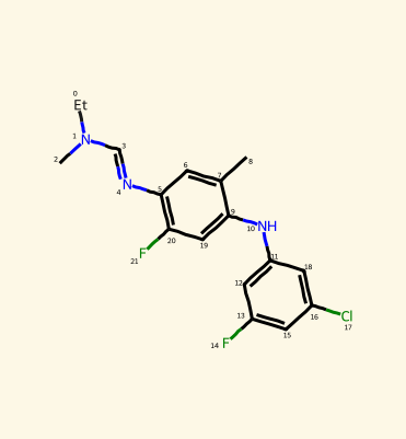 CCN(C)C=Nc1cc(C)c(Nc2cc(F)cc(Cl)c2)cc1F